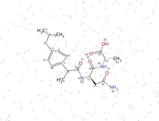 CC(C)Cc1ccc(C(C)C(=O)N[C@H](CC(N)=O)C(=O)N[C@@H](C)C(=O)O)cc1